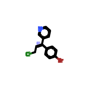 ClC/C=C(\c1ccc(Br)cc1)c1cccnc1